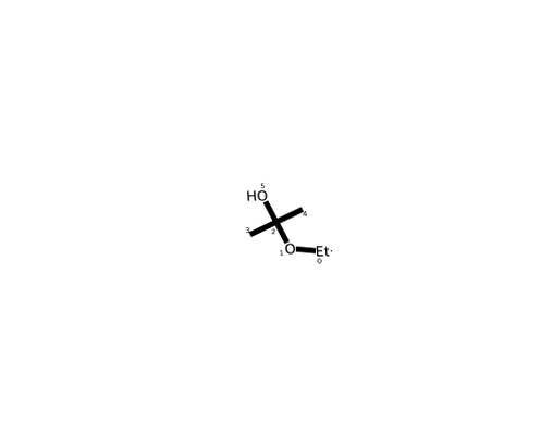 C[CH]OC(C)(C)O